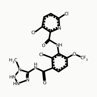 CN1NNN=C1NC(=O)c1ccc(OC(F)(F)F)c(NC(=O)c2nc(Cl)ccc2Cl)c1Cl